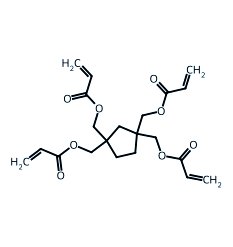 C=CC(=O)OCC1(COC(=O)C=C)CCC(COC(=O)C=C)(COC(=O)C=C)C1